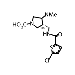 CNC1CN(C(=O)O)C[C@H]1CNC(=O)c1ccc(Cl)s1